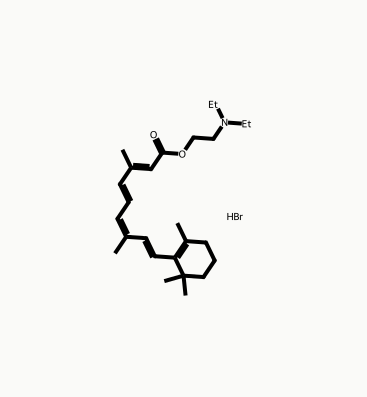 Br.CCN(CC)CCOC(=O)C=C(C)C=C/C=C(/C)C=CC1=C(C)CCCC1(C)C